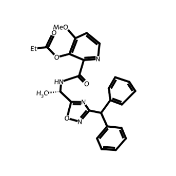 CCC(=O)Oc1c(OC)ccnc1C(=O)N[C@@H](C)c1nc(C(c2ccccc2)c2ccccc2)no1